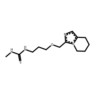 CNC(=S)NCCCOCc1ncc2n1CCCC2